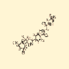 Cc1cc(C2=NOC(c3cc(Cl)cc(Cl)c3)(C(C)(F)F)C2)ccc1C(=O)NCC(=O)NCC(F)(F)F